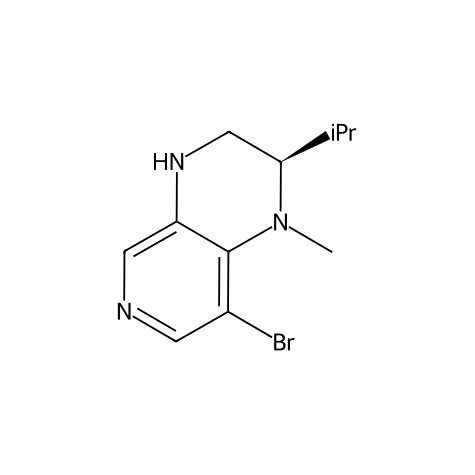 CC(C)[C@@H]1CNc2cncc(Br)c2N1C